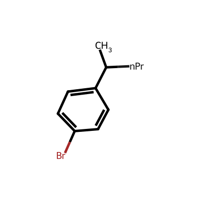 CCCC(C)c1ccc(Br)cc1